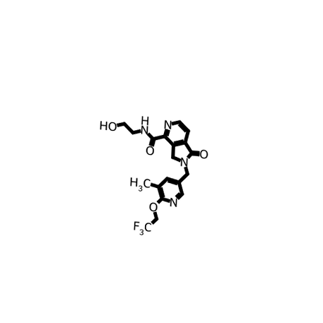 Cc1cc(CN2Cc3c(ccnc3C(=O)NCCO)C2=O)cnc1OCC(F)(F)F